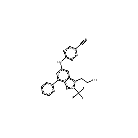 N#Cc1cnc(Nc2cc(-c3ccccc3)c3nc(C(F)(F)F)n(CCO)c3c2)nc1